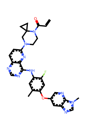 C=CC(=O)N1CCN(c2ccc3ncnc(Nc4cc(C)c(Oc5cnc6c(c5)ncn6C)cc4F)c3n2)CC12CC2